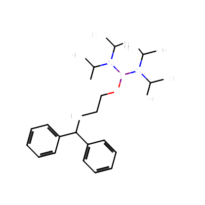 CC(C)N(C(C)C)P(OCC[SiH2]C(c1ccccc1)c1ccccc1)N(C(C)C)C(C)C